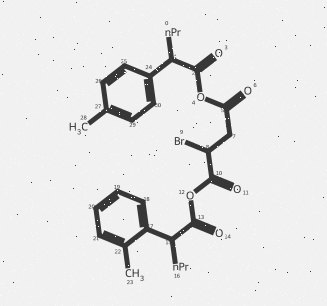 CCCC(C(=O)OC(=O)CC(Br)C(=O)OC(=O)C(CCC)c1ccccc1C)c1ccc(C)cc1